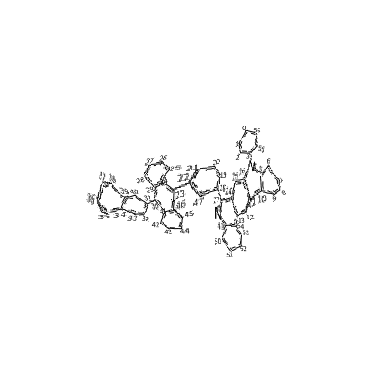 c1ccc(-n2c3ccccc3c3cc4c(cc32)c(-c2cccc(-c3c5ccccc5c(-c5ccc6ccccc6c5)c5ccccc35)c2)nc2ccccc24)cc1